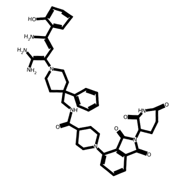 NC(N)=C(/C=C(\N)c1ccccc1O)N1CCC(CNC(=O)C2CCN(c3cccc4c3C(=O)N(C3CCC(=O)NC3=O)C4=O)CC2)(c2ccccc2)CC1